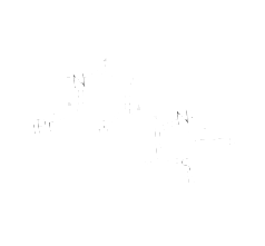 Cc1nc(-c2ccnc(C(C)C)c2)cs1